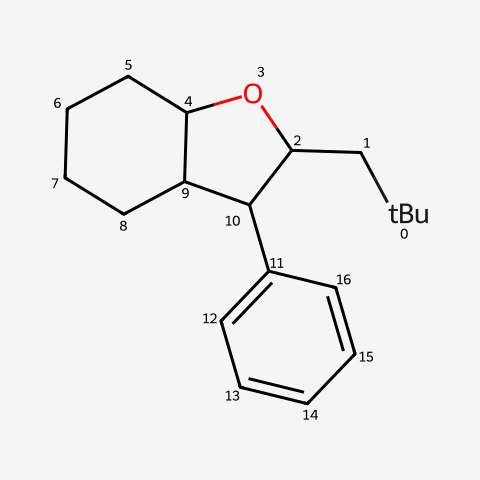 CC(C)(C)CC1OC2CCCCC2C1c1ccccc1